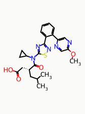 COc1cnc(-c2ccccc2-c2nsc(N(C(=O)[C@@H](CC(=O)O)CC(C)C)C3CC3)n2)cn1